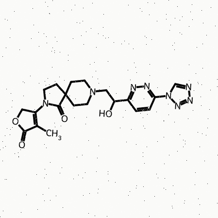 CC1=C(N2CCC3(CCN(CC(O)c4ccc(-n5cnnn5)nn4)CC3)C2=O)COC1=O